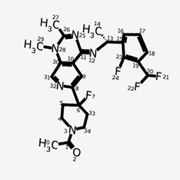 CC(=O)N1CCC(F)(c2cc3/c(=N/[C@H](C)c4cccc(C(F)F)c4F)nc(C)n(C)c3cn2)CC1